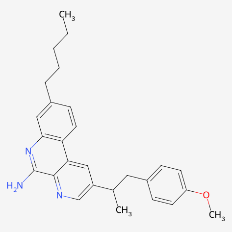 CCCCCc1ccc2c(c1)nc(N)c1ncc(C(C)Cc3ccc(OC)cc3)cc12